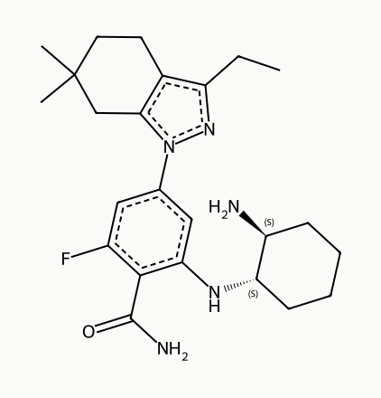 CCc1nn(-c2cc(F)c(C(N)=O)c(N[C@H]3CCCC[C@@H]3N)c2)c2c1CCC(C)(C)C2